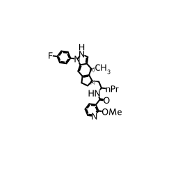 CCCC(C[C@H]1CCC2=C1[C@@H](C)C1=CNN(c3ccc(F)cc3)C1=C2)NC(=O)c1cccnc1OC